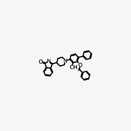 Cc1c(N2CCC(C3=NC(=O)c4ccccc43)CC2)ccc(-c2ccccc2)c1OCc1ccccc1